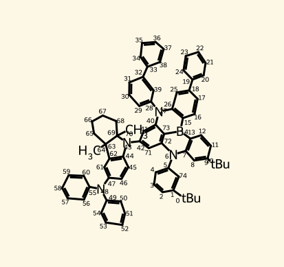 CC(C)(C)c1cccc(N2c3cc(C(C)(C)C)ccc3B3c4ccc(-c5ccccc5)cc4N(c4cccc(-c5ccccc5)c4)c4cc(N5c6ccc(N(c7ccccc7)c7ccccc7)cc6C6(C)CCCCC56C)cc2c43)c1